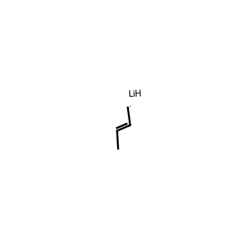 [CH2]C=CC.[LiH]